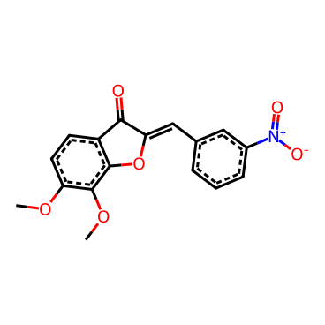 COc1ccc2c(c1OC)OC(=Cc1cccc([N+](=O)[O-])c1)C2=O